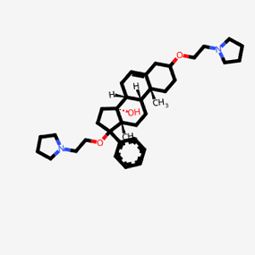 C[C@]12CCC(OCCN3CCCC3)CC1=CC[C@@H]1[C@H]2CC[C@]2(C)C(OCCN3CCCC3)(c3ccccc3)CC[C@@]12O